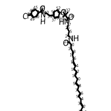 CCC=CCC=CCC=CCC=CCC=CCC=CCCC(=O)NCCCCNC(=O)C(C)(C)Oc1ccc(CCNC(=O)c2ccc(Cl)cc2)cc1